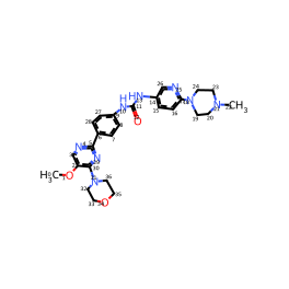 COc1cnc(-c2ccc(NC(=O)Nc3ccc(N4CCN(C)CC4)nc3)cc2)nc1N1CCOCC1